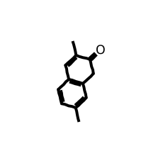 CC1=Cc2ccc(C)cc2CC1=O